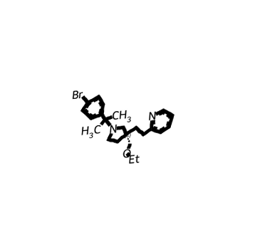 CCOC[C@]1(CCc2ccccn2)CCN(C(C)(C)c2ccc(Br)cc2)C1